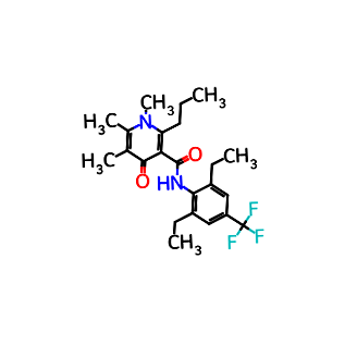 CCCc1c(C(=O)Nc2c(CC)cc(C(F)(F)F)cc2CC)c(=O)c(C)c(C)n1C